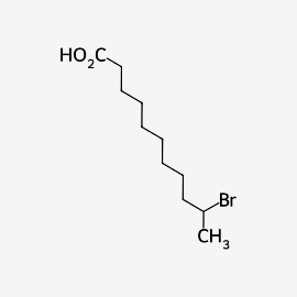 CC(Br)CCCCCCCCC(=O)O